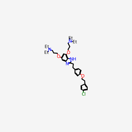 CCN(CC)CCCOc1cc(OCCCN(CC)CC)c2[nH]c(CCc3ccc(OCCc4ccc(Cl)cc4)cc3)nc2c1